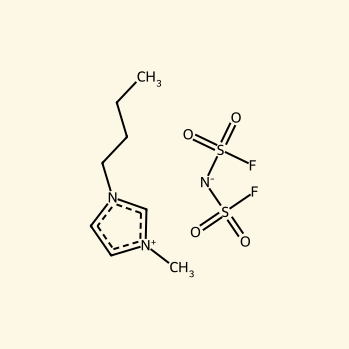 CCCCn1cc[n+](C)c1.O=S(=O)(F)[N-]S(=O)(=O)F